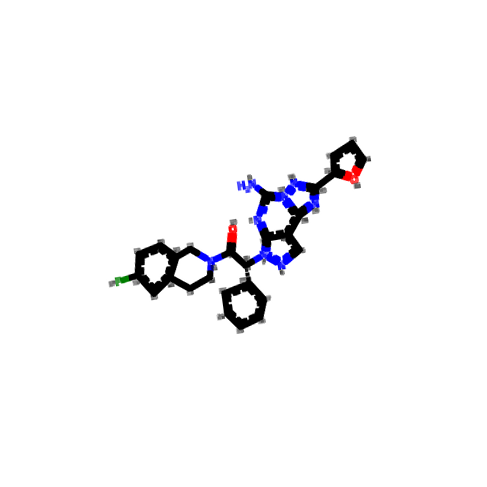 Nc1nc2c(cnn2[C@@H](C(=O)N2CCc3cc(F)ccc3C2)c2ccccc2)c2nc(-c3ccco3)nn12